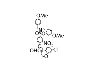 COc1ccc(CN(Cc2ccc(OC)cc2)S(=O)(=O)c2ccc(OC[C@@]3(C=O)CCOc4cc(Cl)ccc43)c([N+](=O)[O-])c2)cc1